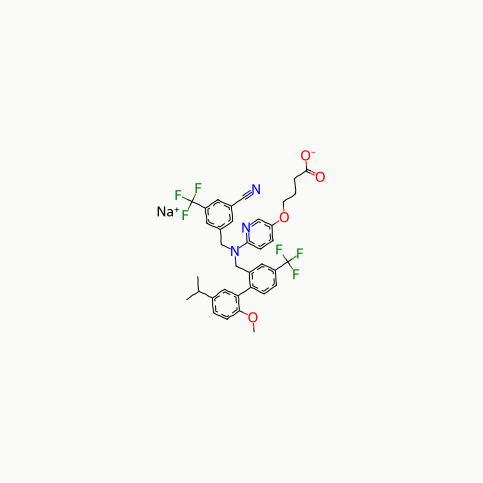 COc1ccc(C(C)C)cc1-c1ccc(C(F)(F)F)cc1CN(Cc1cc(C#N)cc(C(F)(F)F)c1)c1ccc(OCCCC(=O)[O-])cn1.[Na+]